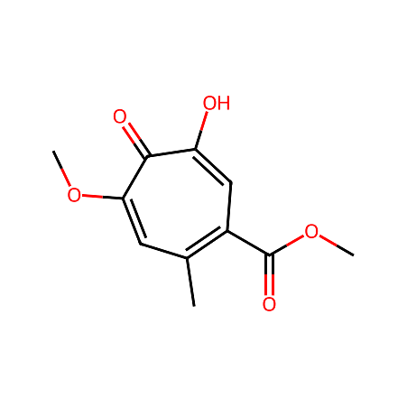 COC(=O)c1cc(O)c(=O)c(OC)cc1C